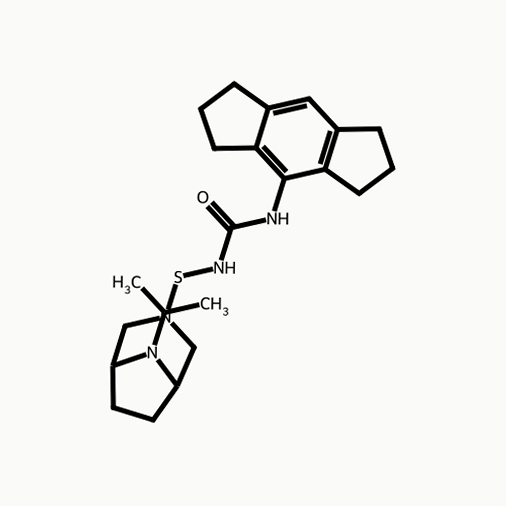 CC(C)N1C2CCC1CN(SNC(=O)Nc1c3c(cc4c1CCC4)CCC3)C2